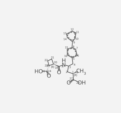 C[C@H](CC(Cc1ccc(-c2ccccc2)cc1)NC(=O)[C@@H]1CC[C@H]1C(=O)O)C(=O)O